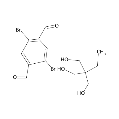 CCC(CO)(CO)CO.O=Cc1cc(Br)c(C=O)cc1Br